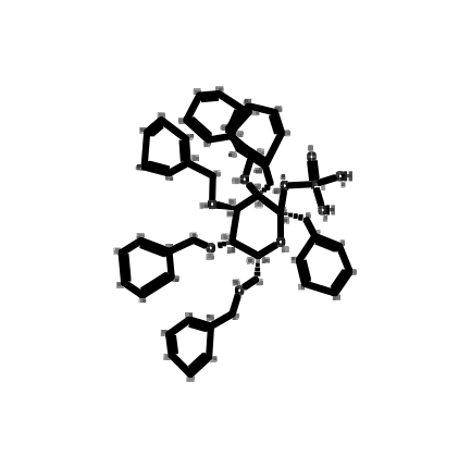 O=P(O)(O)O[C@@]1(Cc2ccccc2)O[C@H](COCc2ccccc2)[C@H](OCc2ccccc2)[C@@H](OCc2ccccc2)[C@@]1(Cc1ccccc1)OCc1ccccc1